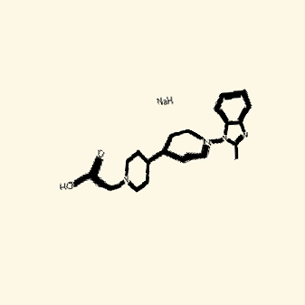 Cc1nc2ccccc2n1N1CCC(C2CCN(CC(=O)O)CC2)CC1.[NaH]